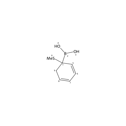 CSC1(B(O)O)C=CC=CC1